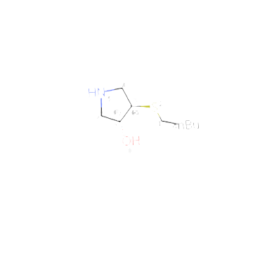 CCCCCS[C@@H]1CNC[C@H]1O